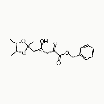 CC1OC(C)(C[C@@H](O)CC(=O)C(=O)OCc2ccccc2)OC1C